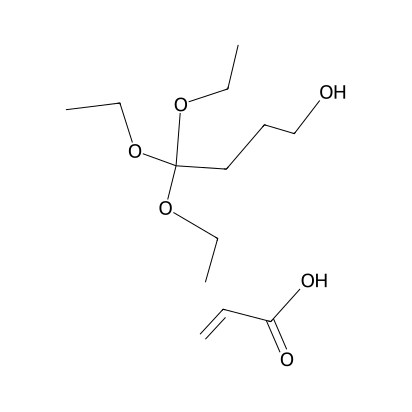 C=CC(=O)O.CCOC(CCCO)(OCC)OCC